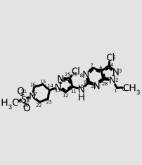 CCn1nc(Cl)c2cnc(Nc3cn(C4CCN(S(C)(=O)=O)CC4)nc3Cl)nc21